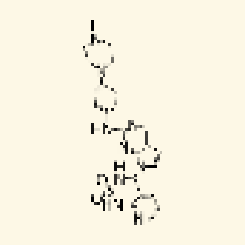 O=S1(=O)Nc2ncccc2C(n2ccc3cnc(Nc4ccc(N5CCNCC5)cc4)nc32)N1